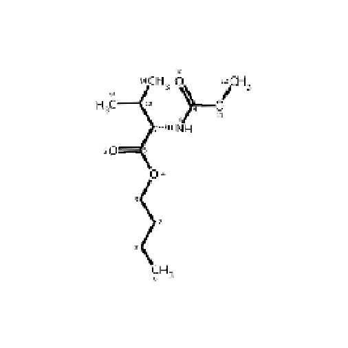 CCCCOC(=O)[C@@H](NC(=O)OC)C(C)C